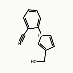 N#Cc1ccccc1[SH]1C=CC(CO)=C1